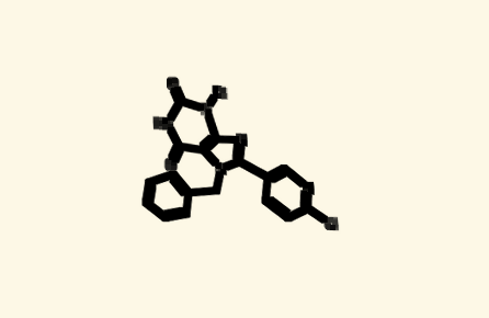 CCn1c(=O)[nH]c(=O)c2c1nc(-c1ccc(Cl)nc1)n2Cc1ccccc1